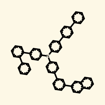 c1ccc(-c2ccc(-c3ccc(N(c4ccc(-c5cccc(-c6ccc7ccccc7c6)c5)cc4)c4ccc(-c5ccccc5-c5ccccc5)cc4)cc3)cc2)cc1